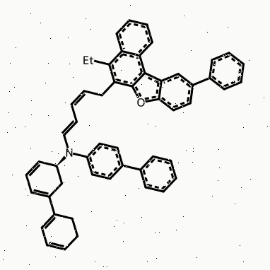 CCc1c(C/C=C\C=C\N(c2ccc(-c3ccccc3)cc2)[C@@H]2C=CC=C(C3=CC=CCC3)C2)c2oc3ccc(-c4ccccc4)cc3c2c2ccccc12